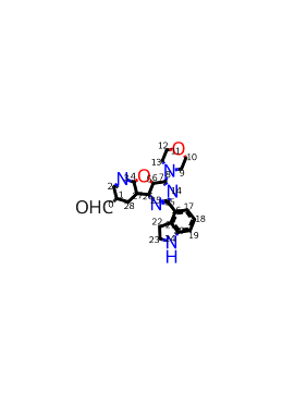 O=CC1C=NC2OC3C(N4CCOCC4)=NC(c4cccc5c4CCN5)=NC3C2C1